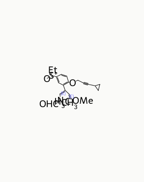 CC[S+]([O-])c1ccc(OCC#CC2CC2)c(C(/C=C(\C)OC)=C/N(C)C=O)c1